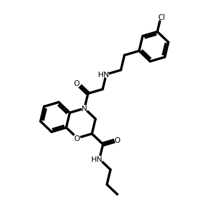 CCCNC(=O)C1CN(C(=O)CNCCc2cccc(Cl)c2)c2ccccc2O1